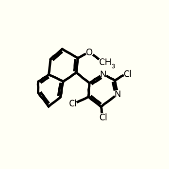 COc1ccc2ccccc2c1-c1nc(Cl)nc(Cl)c1Cl